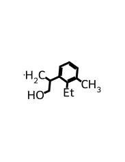 [CH2]C(CO)c1cccc(C)c1CC